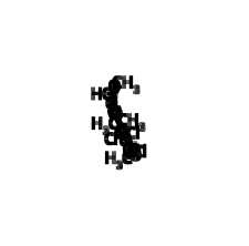 COC[C@H](O)COc1ccc(C(C)(C)c2cc(Cl)c(OC[C@@H](CCl)OC(C)=O)c(Cl)c2)cc1